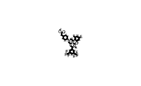 COC(=O)CC1CCC(N2CCN(C(=O)N(C)C(C)c3cc(C(F)(F)F)cc(C(F)(F)F)c3)[C@@H](c3ccc(F)cc3C)C2)CC1